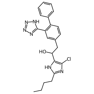 CCCCc1nc(Cl)c(C(O)Cc2ccc(-c3ccccc3)c(-c3nnn[nH]3)c2)[nH]1